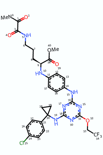 CNC(=O)C(=O)NCCC[C@H](Nc1ccc(Nc2nc(NC3(c4ccc(Cl)cc4)CC3)nc(OCC(F)(F)F)n2)cc1)C(=O)OC